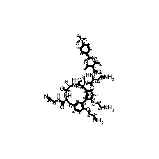 Cc1nc(-c2ccc(S(C)(C)C)cc2)nc(C)c1C(=O)N[C@@H](CCN)C(=O)N(C)[C@@H]1C(=O)N[C@@H](C)C(=O)N[C@H](C(=O)NCC#N)Cc2ccc(OCCN)c(c2)-c2cc1ccc2OCCN